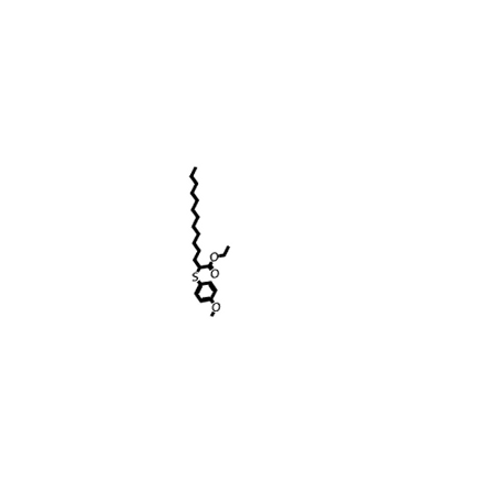 CCCCCCCCCCCCC(Sc1ccc(OC)cc1)C(=O)OCC